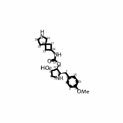 COc1ccc(C[C@H]2NC[C@H](O)[C@H]2OC(=O)NC2CC3(CCNC3)C2)cc1